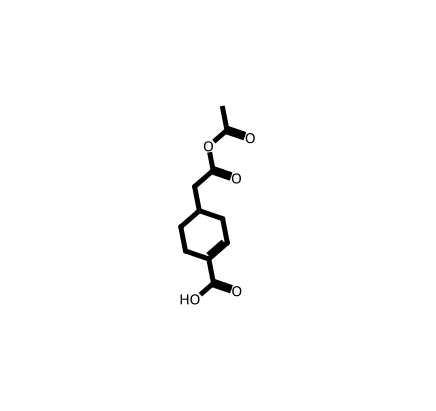 CC(=O)OC(=O)CC1CC=C(C(=O)O)CC1